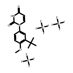 COc1ccc(-n2ccc(=O)[nH]c2=O)cc1C(C)(C)C.F[B-](F)(F)F.F[B-](F)(F)F.F[B-](F)(F)F